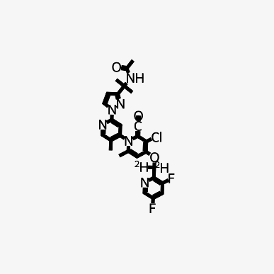 [2H]C([2H])(OC1=C(Cl)C(=C=O)N(c2cc(-n3ccc(C(C)(C)NC(C)=O)n3)ncc2C)C(C)=C1)c1ncc(F)cc1F